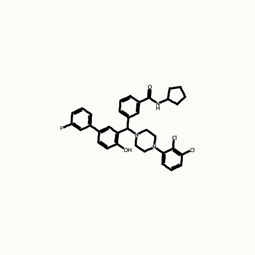 O=C(NC1CCCC1)c1cccc(C(c2cc(-c3cccc(F)c3)ccc2O)N2CCN(c3cccc(Cl)c3Cl)CC2)c1